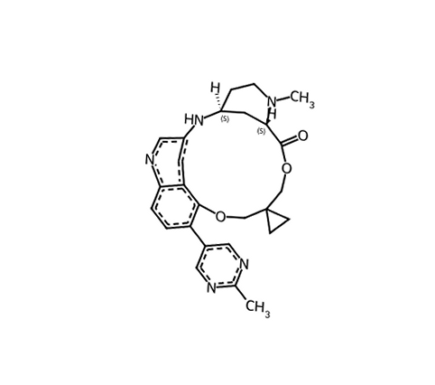 Cc1ncc(-c2ccc3ncc4cc3c2OCC2(CC2)COC(=O)[C@@H]2C[C@H](CCN2C)N4)cn1